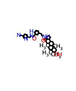 CC1(C)C(O)CCC2(C)C1CCC1(C)C3CCC4(C(=O)NCCc5cccc(C(=O)NCc6ccc(C#N)cn6)c5)CCCC4C3CCC12